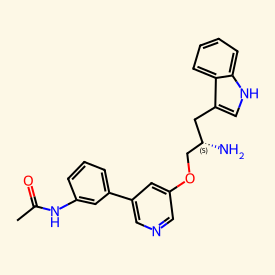 CC(=O)Nc1cccc(-c2cncc(OC[C@@H](N)Cc3c[nH]c4ccccc34)c2)c1